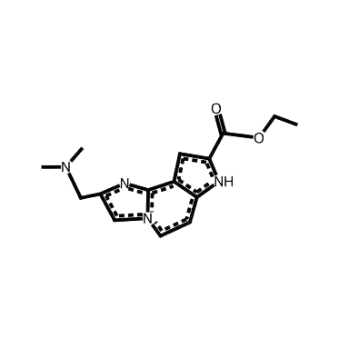 CCOC(=O)c1cc2c(ccn3cc(CN(C)C)nc23)[nH]1